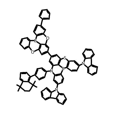 CC1(C)CCC(C)(C)c2c(-c3ccc(N4c5cc(-n6c7ccccc7c7ccccc76)ccc5B5c6ccc(-n7c8ccccc8c8ccccc87)cc6Sc6cc(-c7cc8c9c(c7)Oc7cc(-c%10ccccc%10)ccc7B9c7ccccc7O8)cc4c65)cc3)cccc21